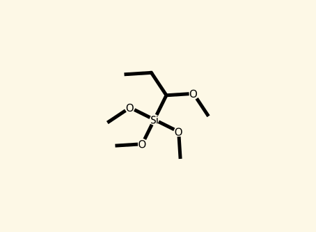 CCC(OC)[Si](OC)(OC)OC